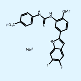 COc1ccc(-c2cc3cc(F)c(F)cc3[nH]2)cc1NC(=S)Nc1ccc(C(=O)O)cc1.[NaH]